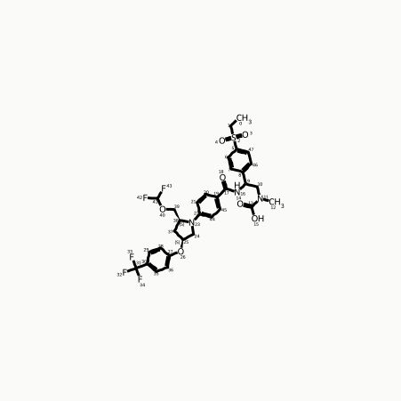 CCS(=O)(=O)c1ccc(C(CN(C)C(=O)O)NC(=O)c2ccc(N3C[C@@H](Oc4ccc(C(F)(F)F)cc4)C[C@H]3COC(F)F)cc2)cc1